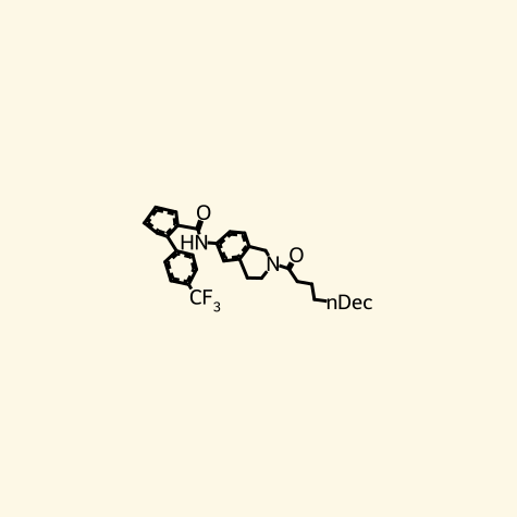 CCCCCCCCCCCCCC(=O)N1CCc2cc(NC(=O)c3ccccc3-c3ccc(C(F)(F)F)cc3)ccc2C1